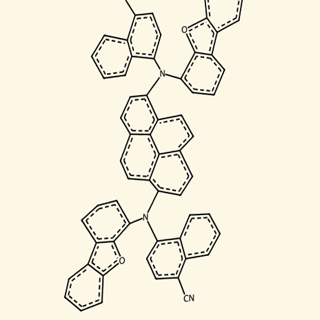 [C-]#[N+]c1ccc(N(c2ccc3ccc4c(N(c5ccc(C#N)c6ccccc56)c5cccc6c5oc5ccccc56)ccc5ccc2c3c54)c2cccc3c2oc2ccccc23)c2ccccc12